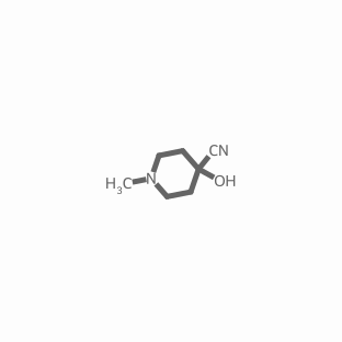 CN1CCC(O)(C#N)CC1